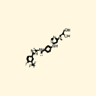 CN(CC(O)CO)c1cc(Nc2ccc(C(=O)Nc3nc(-c4ccc(F)c(C(F)(F)F)c4)ns3)cc2)ncn1